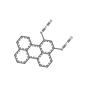 O=C=Nc1cc(N=C=O)c2c3cccc4cccc(c5cccc1c52)c43